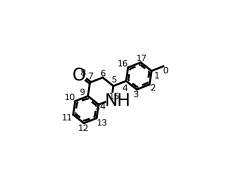 Cc1ccc(C2CC(=O)c3ccccc3N2)cc1